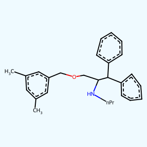 CCCNC(COCc1cc(C)cc(C)c1)C(c1ccccc1)c1ccccc1